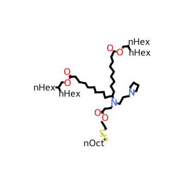 CCCCCCCCSSCCOC(=O)CCN(CCCN1CCCC1)C(CCCCCCCCC(=O)OCC(CCCCCC)CCCCCC)CCCCCCCCC(=O)OCC(CCCCCC)CCCCCC